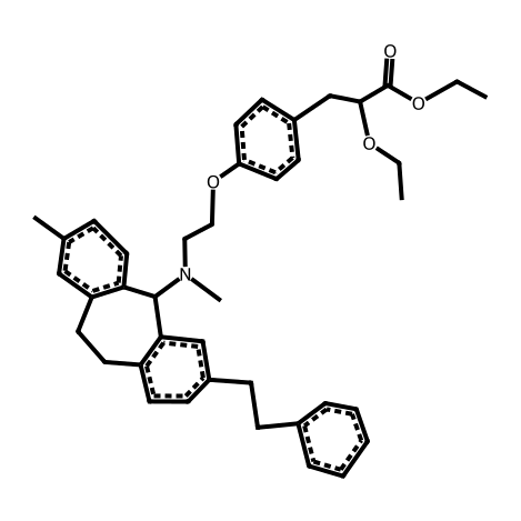 CCOC(=O)C(Cc1ccc(OCCN(C)C2c3ccc(C)cc3CCc3ccc(CCc4ccccc4)cc32)cc1)OCC